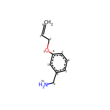 C=CCOc1cc[c]c(CN)c1